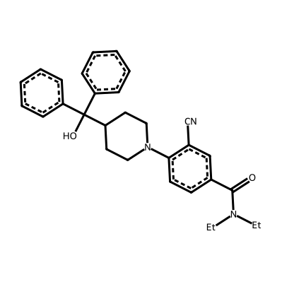 CCN(CC)C(=O)c1ccc(N2CCC(C(O)(c3ccccc3)c3ccccc3)CC2)c(C#N)c1